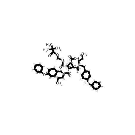 CCCN(Cc1ccc(Oc2ccccc2)cc1)C(=O)[C@@H]1[C@H](C(=O)O)[C@@H](C(=O)OCOC(=O)C(C)(C)C)[C@H]1C(=O)N(CCC)Cc1ccc(Oc2ccccc2)cc1